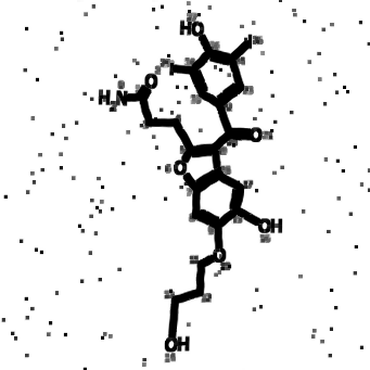 NC(=O)CCc1oc2cc(OCCCO)c(O)cc2c1C(=O)c1cc(I)c(O)c(I)c1